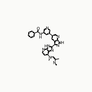 C=N/C(C)=C\N(C)c1ccnc2[nH]c(-c3n[nH]c4ncc(-c5cncc(NC(=O)c6ccccc6)c5)cc34)nc12